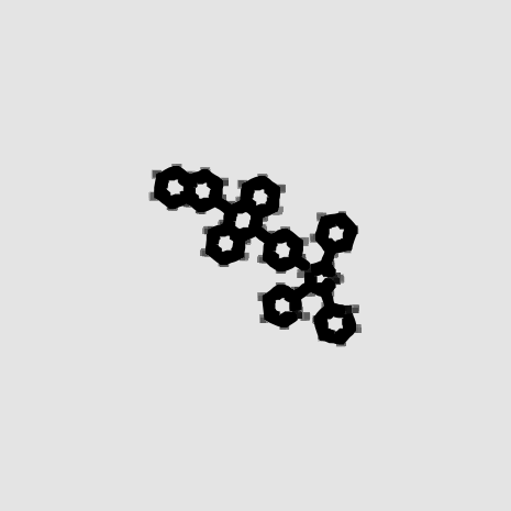 c1ccc(-c2nc(-c3ccccn3)c(-c3ccccn3)n2-c2ccc(-c3c4ccccc4c(-c4ccc5ccccc5c4)c4ccccc34)cc2)cc1